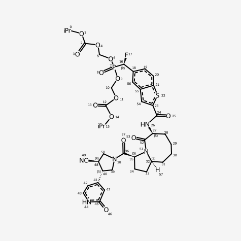 CC(C)OC(=O)OCOP(=O)(OCOC(=O)OC(C)C)[C@@H](F)c1ccc2sc(C(=O)N[C@H]3CCCC[C@H]4CC[C@@H](C(=O)N5C[C@H](c6cc[nH]c(=O)c6)[C@@H](C#N)C5)N4C3=O)cc2c1